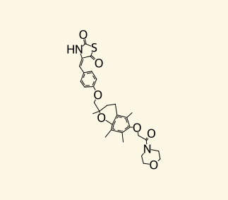 Cc1c(C)c2c(c(C)c1OCC(=O)N1CCOCC1)CCC(C)(COc1ccc(C=C3NC(=O)SC3=O)cc1)O2